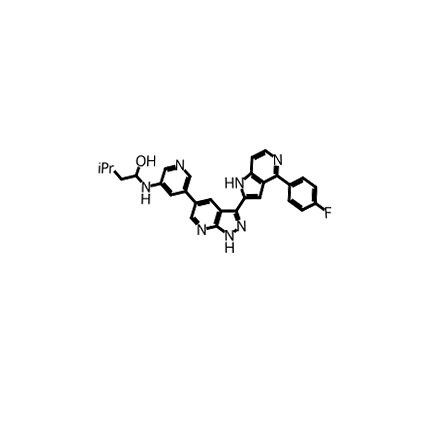 CC(C)CC(O)Nc1cncc(-c2cnc3[nH]nc(-c4cc5c(-c6ccc(F)cc6)nccc5[nH]4)c3c2)c1